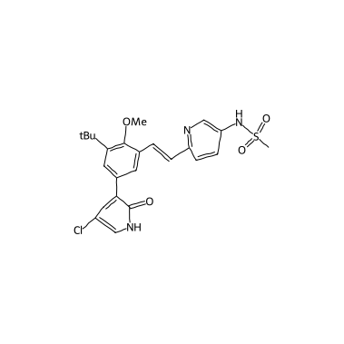 COc1c(/C=C/c2ccc(NS(C)(=O)=O)cn2)cc(-c2cc(Cl)c[nH]c2=O)cc1C(C)(C)C